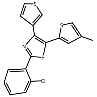 Cc1csc(-c2sc(-c3ccccc3Cl)nc2-c2ccsc2)c1